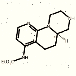 CCOC(=O)Nc1ccnc2c1CC[C@@H]1CNCCN21